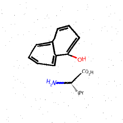 CC(C)[C@H](N)C(=O)O.Oc1cccc2ccccc12